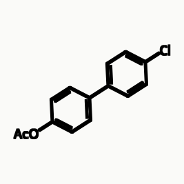 CC(=O)Oc1ccc(-c2ccc(Cl)cc2)cc1